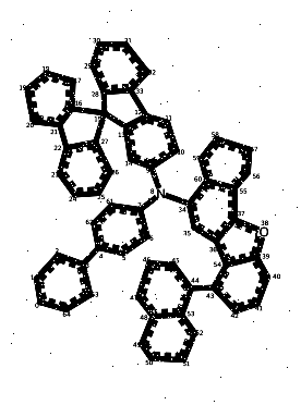 c1ccc(-c2ccc(N(c3ccc4c(c3)C3(c5ccccc5-c5ccccc53)c3ccccc3-4)c3cc4c(oc5cccc(-c6cccc7ccccc67)c54)c4ccccc34)cc2)cc1